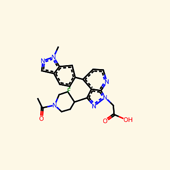 CC(=O)N1CCC(c2nn(CC(=O)O)c3nccc(-c4cc5c(cnn5C)cc4F)c23)CC1